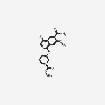 CC(C)Oc1cc2c(O[C@@H]3CCCN(C(=O)OC(C)(C)C)C3)ncc(Br)c2cc1C(N)=O